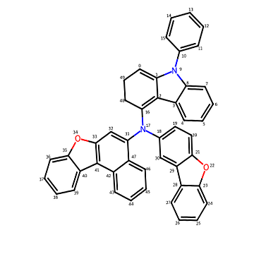 C1=c2c(c3ccccc3n2-c2ccccc2)=C(N(c2ccc3oc4ccccc4c3c2)c2cc3oc4ccccc4c3c3ccccc23)CC1